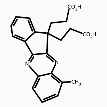 Cc1cccc2nc3c(nc12)C(CCC(=O)O)(CCC(=O)O)c1ccccc1-3